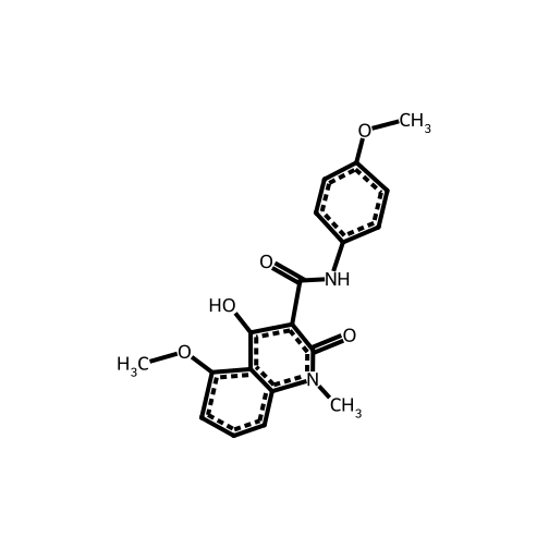 COc1ccc(NC(=O)c2c(O)c3c(OC)cccc3n(C)c2=O)cc1